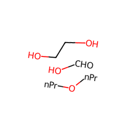 CCCOCCC.O=CO.OCCO